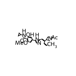 C/C=C\C(=C/c1ncc(-c2cc(O)c(C(=O)NC3CC3)c(OC)c2)[nH]1)C1CN(C(C)=O)C1